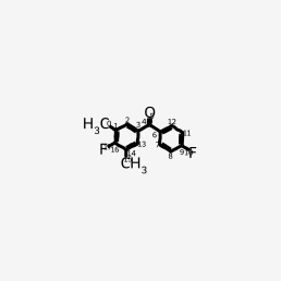 Cc1cc(C(=O)c2ccc(F)cc2)cc(C)c1F